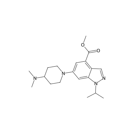 COC(=O)c1cc(N2CCC(N(C)C)CC2)cc2c1cnn2C(C)C